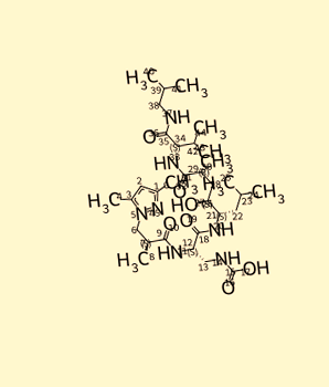 Cc1cc(C)n(C[C@H](C)C(=O)N[C@@H](CNC(=O)O)C(=O)N[C@@H](CC(C)C)[C@@H](O)C[C@@H](C)C(=O)N[C@H](C(=O)NCC(C)C)C(C)C)n1